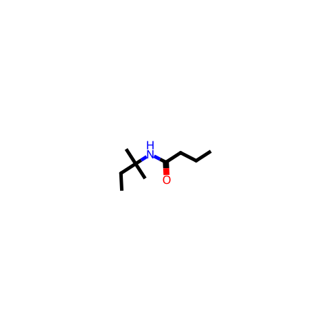 CCCC(=O)NC(C)(C)CC